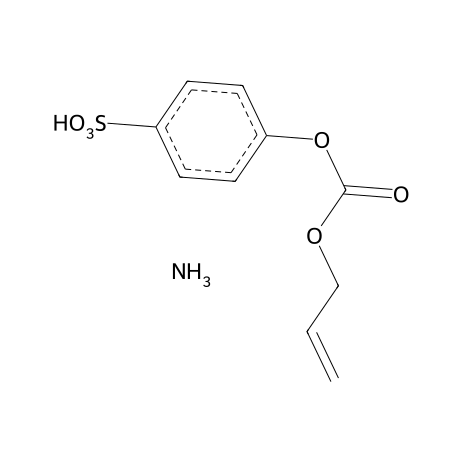 C=CCOC(=O)Oc1ccc(S(=O)(=O)O)cc1.N